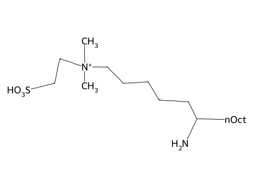 CCCCCCCCC(N)CCCCC[N+](C)(C)CCS(=O)(=O)O